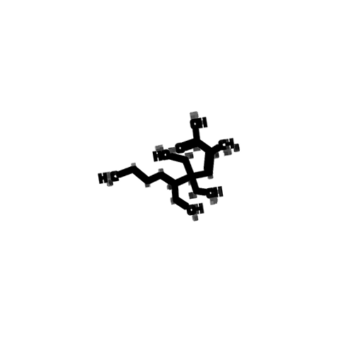 CCCCC(CO)C(C=C(C)C(=O)O)(CO)CO